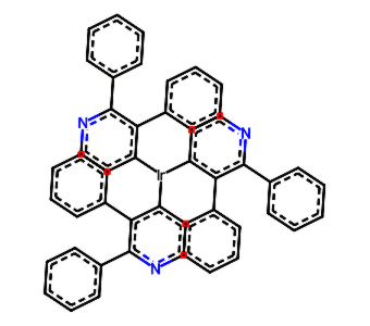 c1ccc(-c2ncc[c]([Ir]([c]3ccnc(-c4ccccc4)c3-c3ccccc3)[c]3ccnc(-c4ccccc4)c3-c3ccccc3)c2-c2ccccc2)cc1